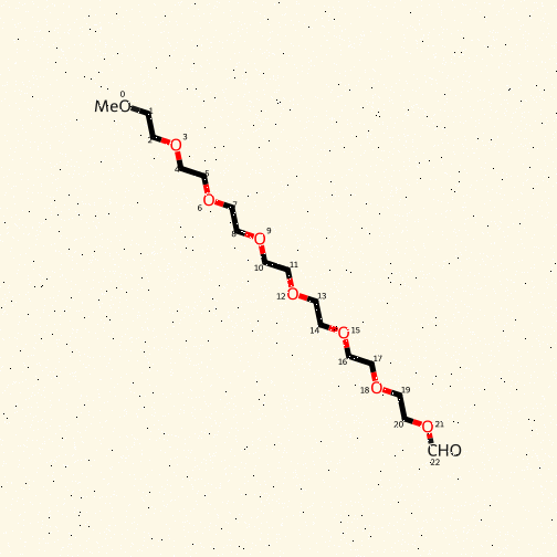 COCCOCCOCCOCCOCCOCCOCCOC=O